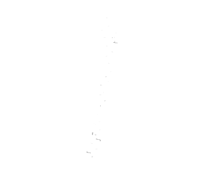 CSC1CCN(C(=O)OCCOCCOCCOCCOCCOCCNC(=O)CCC(C)=O)CC1